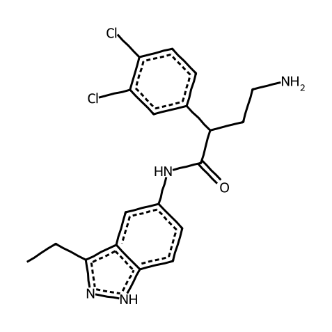 CCc1n[nH]c2ccc(NC(=O)C(CCN)c3ccc(Cl)c(Cl)c3)cc12